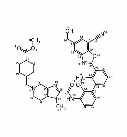 COC(=O)C1CCC(CN2CCc3c(nc(C(=O)Nc4cccc(-c5cccc(-c6nc7cc(CO)cc(C#N)c7o6)c5C)c4Cl)n3C)C2)CC1